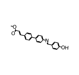 COC(=O)C=Cc1ccc(-c2ccc(N=Cc3ccc(O)cc3)cc2)cc1